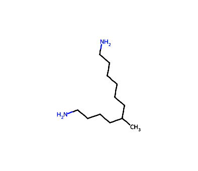 CC(CCCCN)CCCCCCN